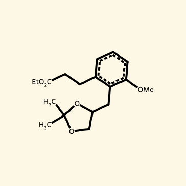 CCOC(=O)CCc1cccc(OC)c1CC1COC(C)(C)O1